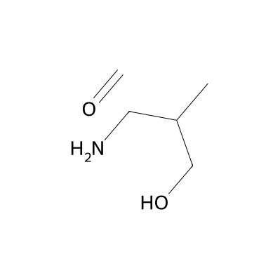 C=O.CC(CN)CO